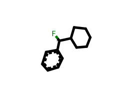 F[C](c1ccccc1)C1CCCCC1